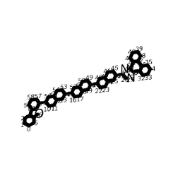 c1ccc2c(c1)oc1c(-c3ccc4cc(-c5ccc6cc(-c7ccc8cc(-c9cnc%10c%11ccccc%11c%11ccccc%11c%10n9)ccc8c7)ccc6c5)ccc4c3)cccc12